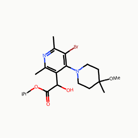 COC1(C)CCN(c2c(Br)c(C)nc(C)c2C(O)C(=O)OC(C)C)CC1